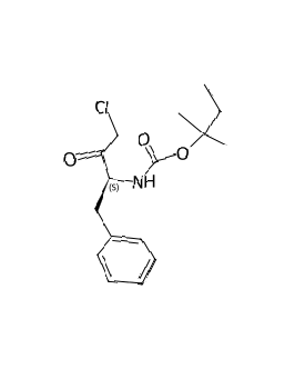 CCC(C)(C)OC(=O)N[C@@H](Cc1ccccc1)C(=O)CCl